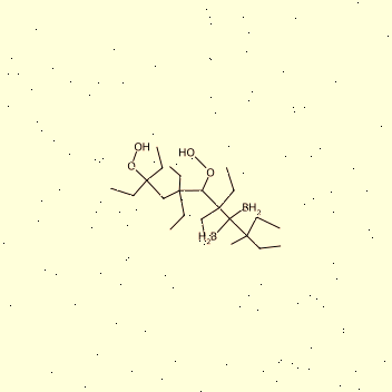 BC(B)(C(C)(CC)CC)C(CC)(CC)C(OO)C(CC)(CC)CC(CC)(CC)OO